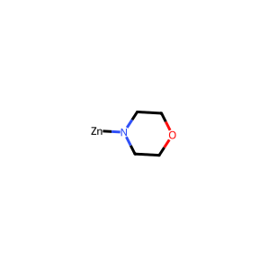 [Zn][N]1CCOCC1